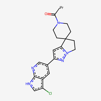 CC(C)C(=O)N1CCC2(CC1)CCn1nc(-c3cnc4[nH]cc(Cl)c4c3)cc12